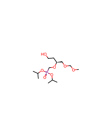 COCOC[C@H](CCO)OCP(=O)(OC(C)C)OC(C)C